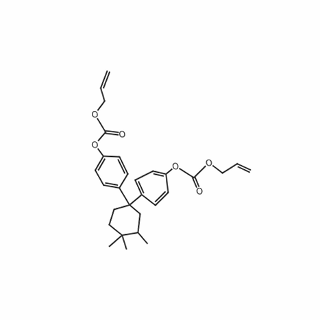 C=CCOC(=O)Oc1ccc(C2(c3ccc(OC(=O)OCC=C)cc3)CCC(C)(C)C(C)C2)cc1